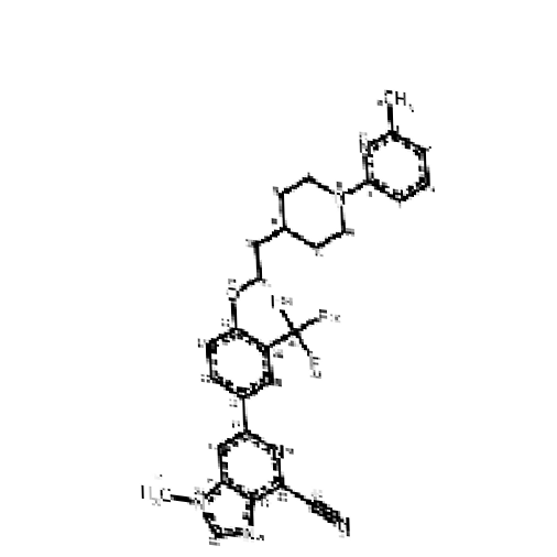 Cc1cccc(N2CCC(CCOc3ccc(-c4cc5c(ncn5C)c(C#N)n4)cc3C(F)(F)F)CC2)n1